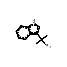 CC(C)(N)c1c[nH]c2[c]cccc12